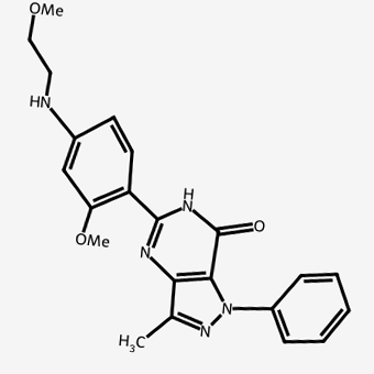 COCCNc1ccc(-c2nc3c(C)nn(-c4ccccc4)c3c(=O)[nH]2)c(OC)c1